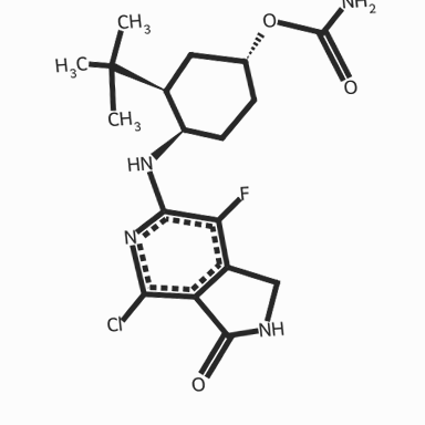 CC(C)(C)[C@H]1C[C@H](OC(N)=O)CC[C@H]1Nc1nc(Cl)c2c(c1F)CNC2=O